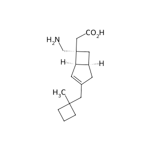 CC1(CC2=C[C@@H]3[C@H](C2)C[C@]3(CN)CC(=O)O)CCC1